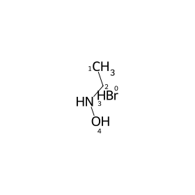 Br.CCNO